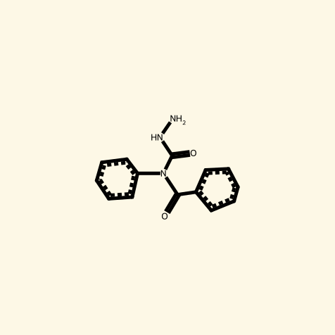 NNC(=O)N(C(=O)c1ccccc1)c1ccccc1